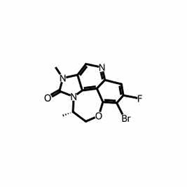 C[C@H]1COc2c(Br)c(F)cc3ncc4c(c23)n1c(=O)n4C